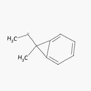 C[C]C1(C)c2ccccc21